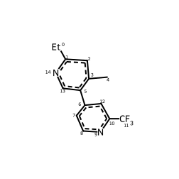 CCc1cc(C)c(-c2ccnc(C(F)(F)F)c2)cn1